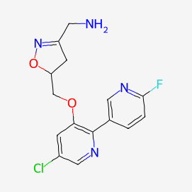 NCC1=NOC(COc2cc(Cl)cnc2-c2ccc(F)nc2)C1